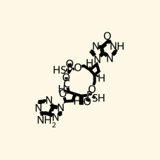 C=C1[C@H]2C[C@H](n3cnc4c(N)ncnc43)O[C@@H]2COP(=O)(S)OC[C@@H]2[C@@H](COP1(=O)S)C[C@H]2n1cnc2c(=O)[nH]cnc21